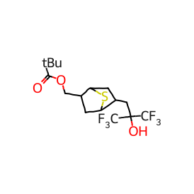 CC(C)(C)C(=O)OCC1CC2SC1CC2CC(O)(C(F)(F)F)C(F)(F)F